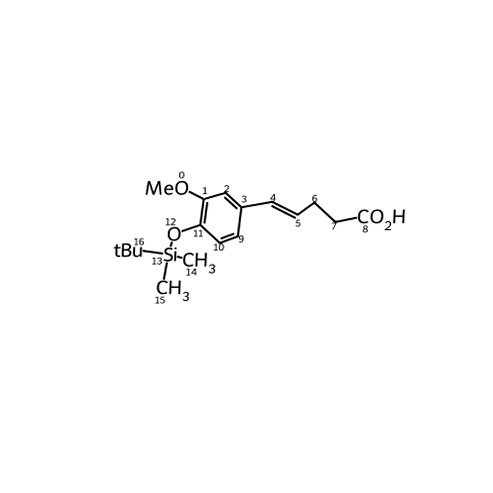 COc1cc(C=CCCC(=O)O)ccc1O[Si](C)(C)C(C)(C)C